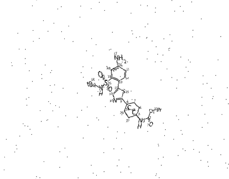 CC(C)OC(=O)NC12CCC(c3ncc(-c4ccc(N)cc4S(=O)(=O)NC(C)(C)C)s3)(CC1)CC2